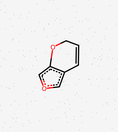 C1=Cc2cocc2OC1